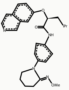 CON=C1CCCCN1c1ccc(NC(=O)[C@H](CC(C)C)Oc2ccc3ccncc3c2)cc1